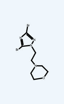 Brc1nc(Br)n(CCN2CCOCC2)n1